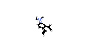 C=Cc1ccc(N(C)C)cc1C(=C)C